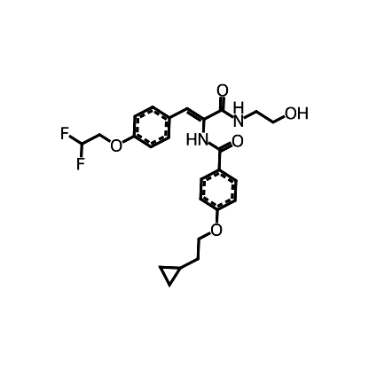 O=C(NCCO)C(=Cc1ccc(OCC(F)F)cc1)NC(=O)c1ccc(OCCC2CC2)cc1